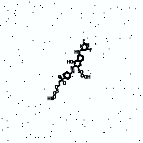 O=S(=O)(CCOSOOO)c1ccc(/N=N/c2c(SOOO)cc3ccc(Nc4cc(F)nc(F)n4)cc3c2O)cc1